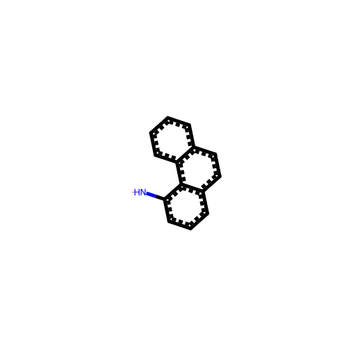 [NH]c1cccc2ccc3ccccc3c12